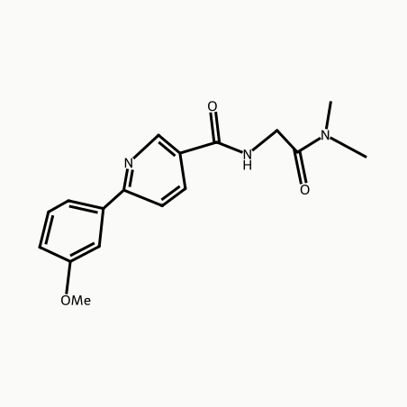 COc1cccc(-c2ccc(C(=O)NCC(=O)N(C)C)cn2)c1